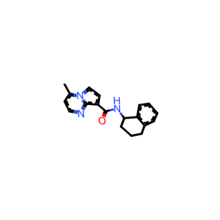 Cc1ccnc2c(C(=O)NC3CCCc4ccccc43)ccn12